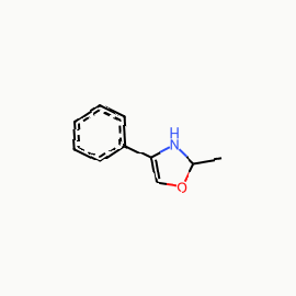 CC1NC(c2ccccc2)=CO1